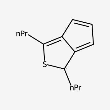 CCC[C]1SC(CCC)=C2C=CC=C12